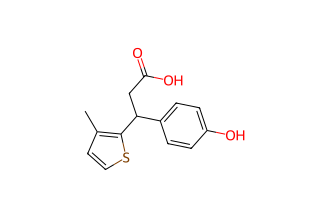 Cc1ccsc1C(CC(=O)O)c1ccc(O)cc1